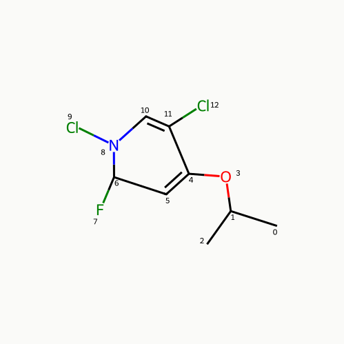 CC(C)OC1=CC(F)N(Cl)C=C1Cl